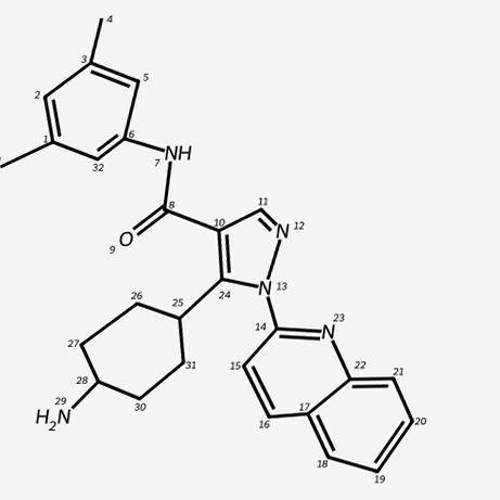 Cc1cc(C)cc(NC(=O)c2cnn(-c3ccc4ccccc4n3)c2C2CCC(N)CC2)c1